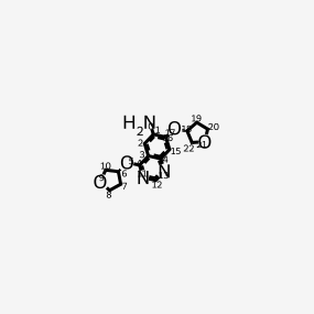 Nc1cc2c(O[C@H]3CCOC3)ncnc2cc1O[C@@H]1CCOC1